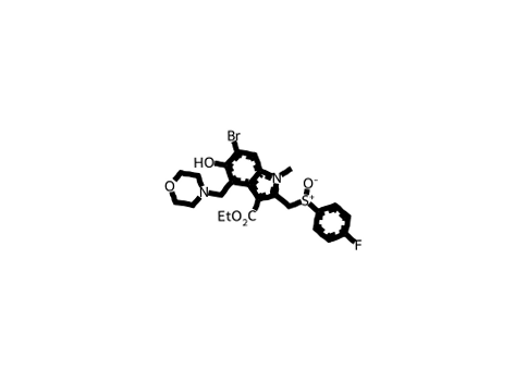 CCOC(=O)c1c(C[S+]([O-])c2ccc(F)cc2)n(C)c2cc(Br)c(O)c(CN3CCOCC3)c12